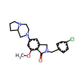 COc1cc(N2CCN3CCCC3C2)cc2c1C(=O)N(Cc1ccc(Cl)cc1)C2